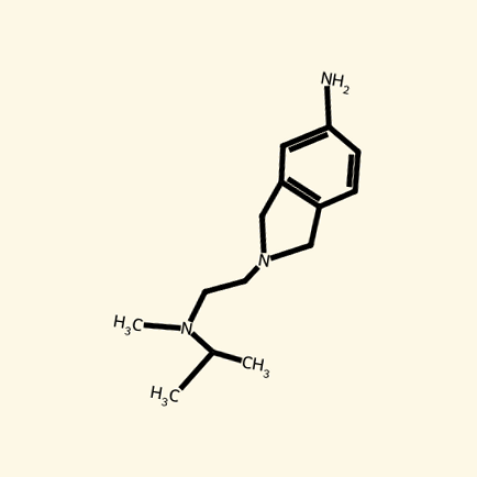 CC(C)N(C)CCN1Cc2ccc(N)cc2C1